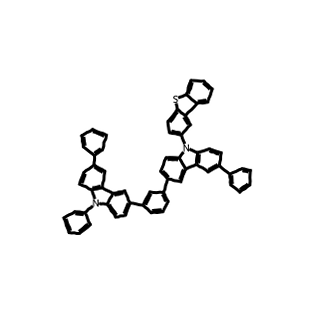 c1ccc(-c2ccc3c(c2)c2cc(-c4cccc(-c5ccc6c(c5)c5cc(-c7ccccc7)ccc5n6-c5ccc6sc7ccccc7c6c5)c4)ccc2n3-c2ccccc2)cc1